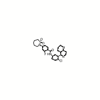 O=C(Nc1ccc(Cl)c(-c2nccc3ncccc23)c1)c1ccc(N2CCCCCS2(=O)=O)cc1F